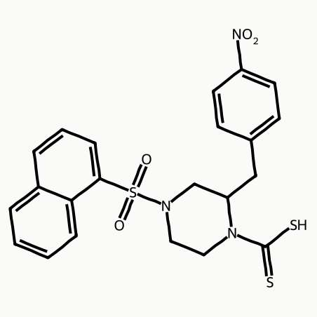 O=[N+]([O-])c1ccc(CC2CN(S(=O)(=O)c3cccc4ccccc34)CCN2C(=S)S)cc1